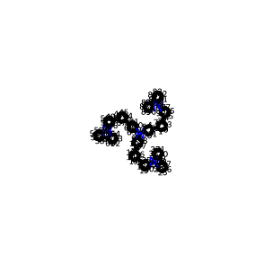 c1cc(-c2ccc(N(c3ccc(-c4cccc(-c5cccc(-n6c7ccccc7c7ccccc76)c5)c4)cc3)c3ccc(-c4cccc(-c5cccc(-n6c7ccccc7c7ccccc76)c5)c4)cc3)cc2)cc(-c2cccc(-n3c4ccccc4c4ccccc43)c2)c1